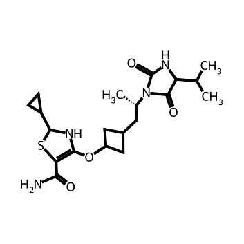 CC(C)C1NC(=O)N([C@@H](C)CC2CC(OC3=C(C(N)=O)SC(C4CC4)N3)C2)C1=O